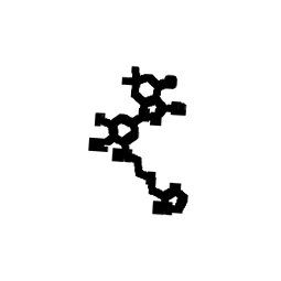 CCc1nn(-c2cc(F)c(C#N)c(NCCSCc3ncc[nH]3)c2)c2c1C(=O)CC(C)(C)C2